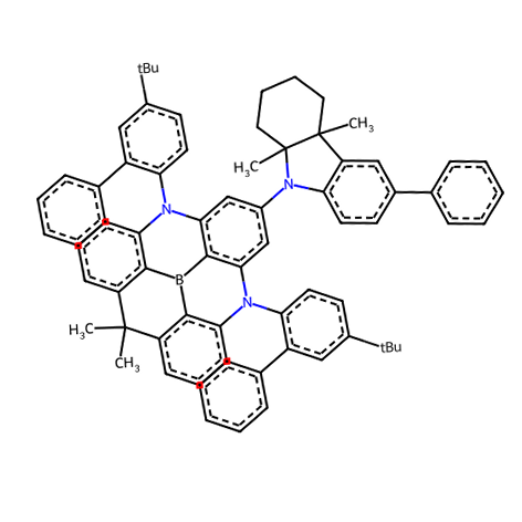 CC(C)(C)c1ccc(N2c3cc(N4c5ccc(-c6ccccc6)cc5C5(C)CCCCC45C)cc4c3B3c5c2cccc5C(C)(C)c2cccc(c23)N4c2ccc(C(C)(C)C)cc2-c2ccccc2)c(-c2ccccc2)c1